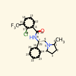 CC1CCCN1C[C@@H](NC(=O)c1cccc(C(F)(F)F)c1Cl)c1ccccc1